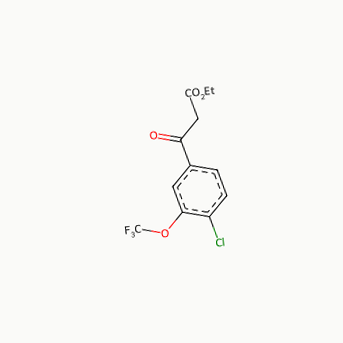 CCOC(=O)CC(=O)c1ccc(Cl)c(OC(F)(F)F)c1